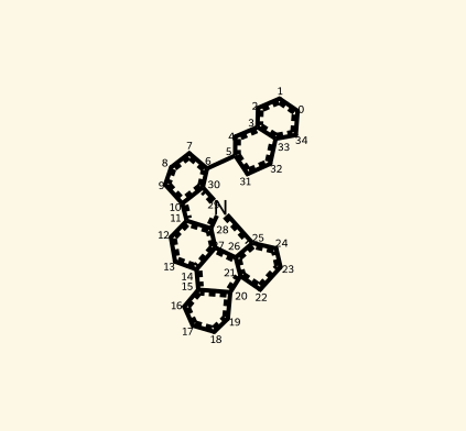 c1ccc2cc(-c3cccc4c5ccc6c7ccccc7c7cccc8c7c6c5n8c34)ccc2c1